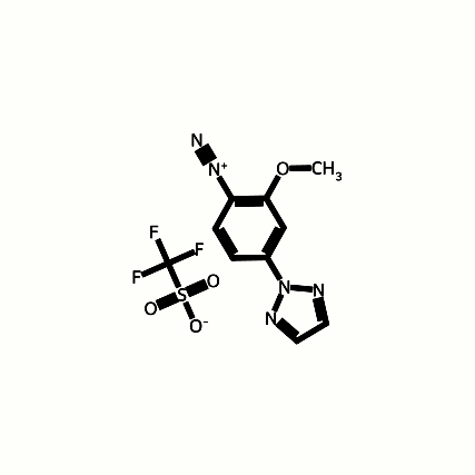 COc1cc(-n2nccn2)ccc1[N+]#N.O=S(=O)([O-])C(F)(F)F